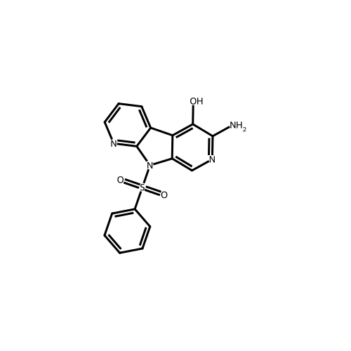 Nc1ncc2c(c1O)c1cccnc1n2S(=O)(=O)c1ccccc1